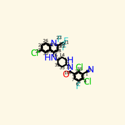 N#Cc1c(Cl)c(F)cc(C(=O)N[C@H]2CC[C@@H](Nc3cc(C(F)(F)F)nc4ccc(Cl)cc34)CC2)c1Cl